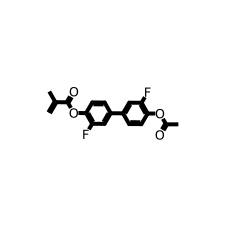 C=C(C)C(=O)Oc1ccc(-c2ccc(OC(C)=O)c(F)c2)cc1F